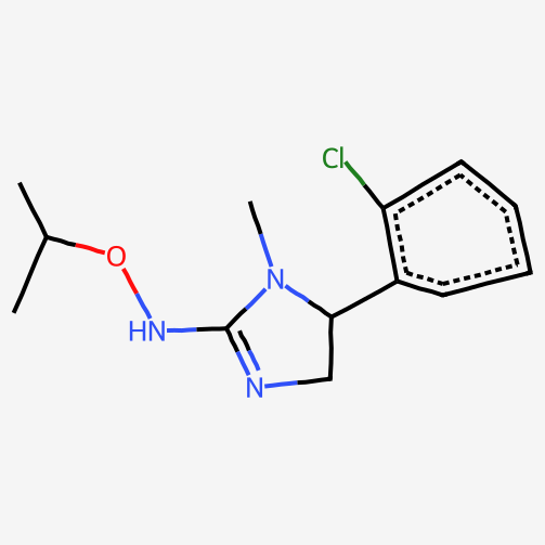 CC(C)ONC1=NCC(c2ccccc2Cl)N1C